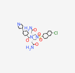 NC(=O)C[C@@H]1CN(S(=O)(=O)c2ccc3cc(Cl)ccc3c2)C[C@H](CC(N)=O)N1C(=O)c1ccc(-c2ccncc2)cc1